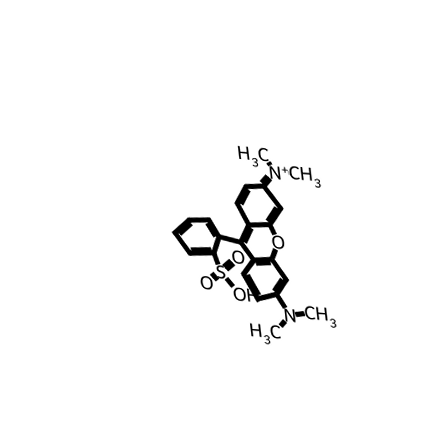 CN(C)c1ccc2c(-c3ccccc3S(=O)(=O)O)c3ccc(=[N+](C)C)cc-3oc2c1